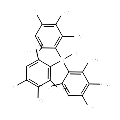 COc1cc(C)c(OC)c(OC)c1[Si](Cl)(c1c(OC)cc(C)c(OC)c1OC)c1c(OC)cc(C)c(OC)c1OC